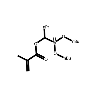 C=C(C)C(=O)OC(CCC)[SiH](OCCCC)OCCCC